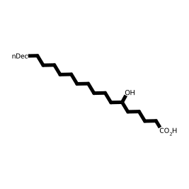 CCCCCCCCCCCCCCCCCCCCC(O)CCCCC(=O)O